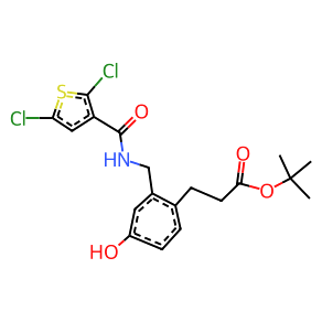 CC(C)(C)OC(=O)CCc1ccc(O)cc1CNC(=O)c1cc(Cl)sc1Cl